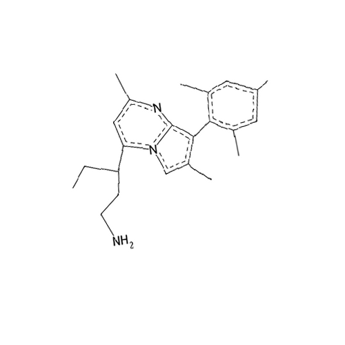 CCC(CCN)c1cc(C)nc2c(-c3c(C)cc(C)cc3C)c(C)cn12